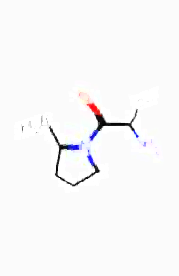 BC1CCCN1C(=O)C(N)C(C)(C)C